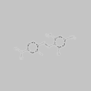 CCN(CC)c1ccc(N=Nc2c(Br)cc([N+](=O)[O-])cc2[N+](=O)[O-])c(C)c1